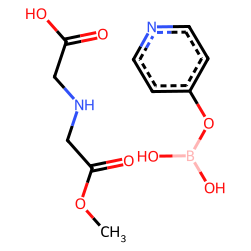 COC(=O)CNCC(=O)O.OB(O)Oc1ccncc1